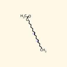 CCCC/C=C/CC/C=C/CCCCCCOC(C)=O